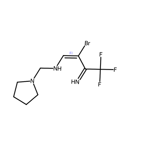 N=C(/C(Br)=C\NCN1CCCC1)C(F)(F)F